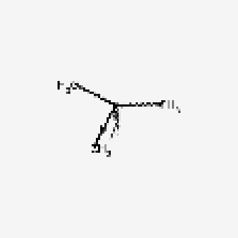 CCCCCCCCCCCCCCCC[PH](CCCCCCCC)(CCCCCCCCCCCCCCCC)CCCCCCCCCCCCCCCC